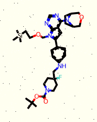 CC(C)(C)OC(=O)N1CCC(F)(CNc2ccc(-c3cc4c(N5C6CCC5COC6)ncnc4n3COCC[Si](C)(C)C)cc2)CC1